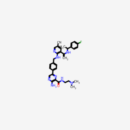 C=C(NC(C)c1ccc(F)cc1)c1cc(C#N)cnc1NCc1ccc(-c2cnc(N)c(C(=O)NCCN(C)C)n2)cc1